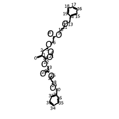 C=C(CC(=O)OCC(=O)OCCOCc1ccccc1)C(=O)OCC(=O)OCCOCc1ccccc1